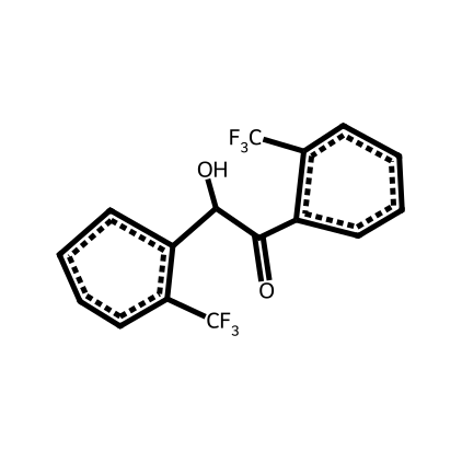 O=C(c1ccccc1C(F)(F)F)C(O)c1ccccc1C(F)(F)F